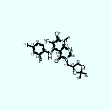 Cn1c(=O)c(F)c(Nc2ccc(I)cc2F)c2c(=O)n(CC3COC(C)(C)O3)cnc21